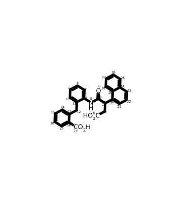 O=C(O)CC(C(=O)Nc1ccccc1Cc1ccccc1C(=O)O)c1cccc2ccccc12